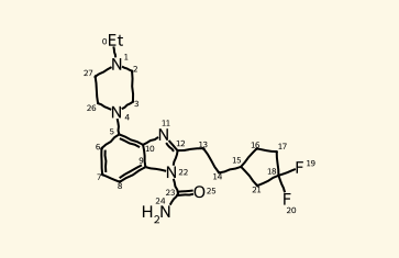 CCN1CCN(c2cccc3c2nc(CCC2CCC(F)(F)C2)n3C(N)=O)CC1